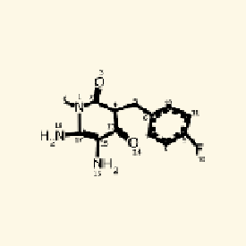 CN1C(=O)C(Cc2ccc(F)cc2)C(=O)C(N)=C1N